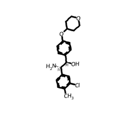 Cc1ccc([C@H](N)[C@H](O)c2ccc(OC3CCOCC3)cc2)cc1Cl